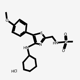 COc1ccc(-c2sc(CNS(C)(=O)=O)nc2NC2CCCCC2)cc1.Cl